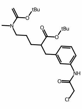 C=C(OC(C)(C)C)N(C)CCCC(Cc1cccc(NC(=O)CCl)c1)C(=O)OC(C)(C)C